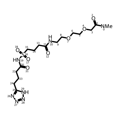 CNC(=O)COCCOCCNC(=O)CCCS(=O)(=O)NC(=O)CCCc1nnn[nH]1